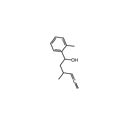 C=C=CC(C)CC(O)c1ccccc1C